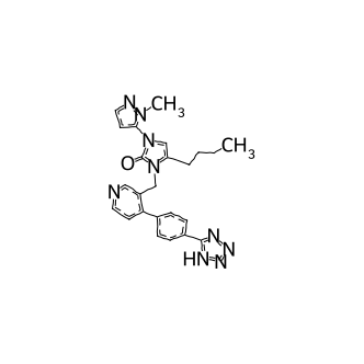 CCCCc1cn(-c2ccnn2C)c(=O)n1Cc1cnccc1-c1ccc(-c2nnn[nH]2)cc1